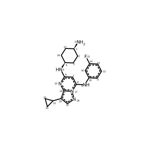 N[C@H]1CC[C@@H](Nc2cc(Nc3cccc(F)c3)n3ncc(C4CC4)c3n2)CC1